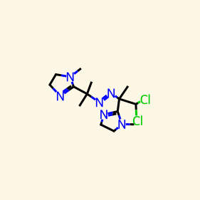 CN1CCN=C1C(C)(C)N=NC(C)(C1=NCCN1C)C(Cl)Cl